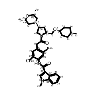 C[C@@H]1CN([C@H]2C[C@@H](CO[C@H]3CC[C@H](C)CC3)N(C(=O)Cc3cc(Cl)c(NC(=O)c4cn(C)c5ccccc45)cc3F)C2)C[C@H](C)O1